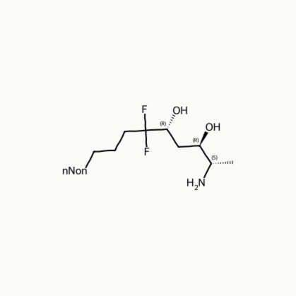 CCCCCCCCCCCCC(F)(F)[C@H](O)C[C@@H](O)[C@H](C)N